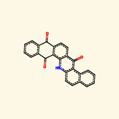 O=C1c2ccccc2C(=O)c2c1ccc1c(=O)c3c(ccc4ccccc43)[nH]c21